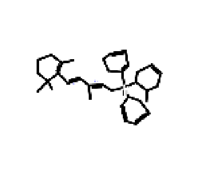 CC1=C(/C=C/C(C)=C/C[PH](C2=CC=CCC2)(C2C=CC=CC2)C2CC=CCC2C)C(C)(C)CCC1